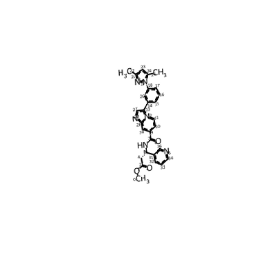 COC(=O)C[C@H](NC(=O)c1ccn2c(-c3cccc(-n4nc(C)cc4C)c3)cnc2c1)c1cccnc1